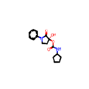 O=C(NC1CCCC1)O[C@@]1(O)CCN(c2ccccc2)C1=O